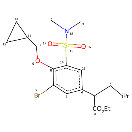 CCOC(=O)C(CC(C)C)c1cc(Br)c(OCC2CC2)c(S(=O)(=O)N(C)C)c1